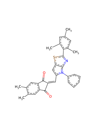 Cc1cc(C)c(-c2nc3c(cc(C=C4C(=O)c5cc(C)c(C)cc5C4=O)n3-c3ccccc3)s2)c(C)c1